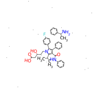 CC(C)c1c(C(=O)Nc2ccccc2)c(-c2ccccc2)c(-c2ccc(F)cc2)n1CCC(O)CC(=O)O.CC(N)c1ccccc1